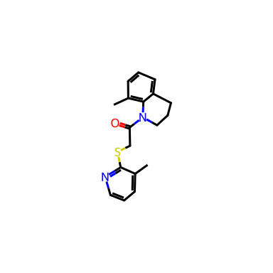 Cc1cccnc1SCC(=O)N1CCCc2cccc(C)c21